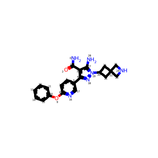 NC(=O)c1c(-c2ccc(Oc3ccccc3)nc2)nn(C2CC3(CNC3)C2)c1N